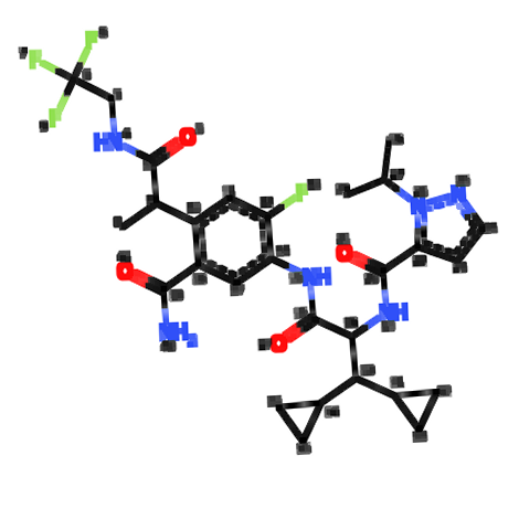 CC(C(=O)NCC(F)(F)F)c1cc(F)c(NC(=O)C(NC(=O)c2ccnn2C(C)C)C(C2CC2)C2CC2)cc1C(N)=O